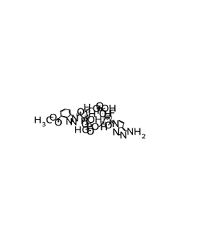 COC(=O)c1cccc2c1nnn2[C@@H]1O[C@@H]2COP(=O)(O)O[C@H]3[C@@H](F)[C@H](n4ccc5c(N)ncnc54)O[C@@H]3COP(=O)(O)O[C@@H]1[C@@H]2O